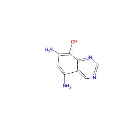 Nc1cc(N)c2cncnc2c1O